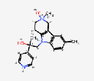 Cc1ccc2c(c1)c1c(n2CC(C)(O)c2ccncc2)CC[N+](C)([O-])C1